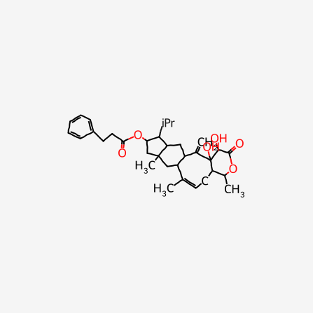 C=C1C2CC3C(C(C)C)C(OC(=O)CCc4ccccc4)CC3(C)CC2C(C)=CCC2C(C)OC(=O)C(O)C12O